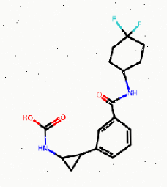 O=C(O)NC1CC1c1cccc(C(=O)NC2CCC(F)(F)CC2)c1